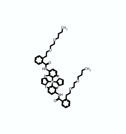 CCCCOCCOCCc1ccccc1C(=O)Nc1ccc(F)[c]([Ti]([C]2=CC=CC2)([C]2=CC=CC2)[c]2c(F)ccc(NC(=O)c3ccccc3CCOCCOCCCC)c2F)c1F